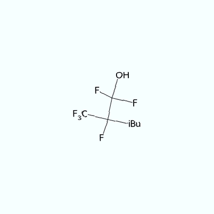 CCC(C)C(F)(C(O)(F)F)C(F)(F)F